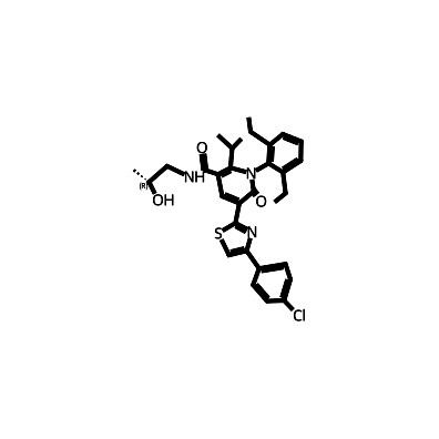 CCc1cccc(CC)c1-n1c(C(C)C)c(C(=O)NC[C@@H](C)O)cc(-c2nc(-c3ccc(Cl)cc3)cs2)c1=O